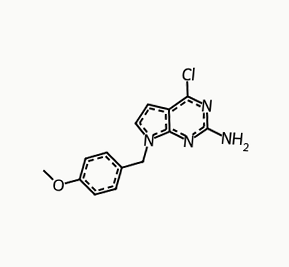 COc1ccc(Cn2ccc3c(Cl)nc(N)nc32)cc1